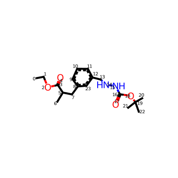 CCOC(=O)C(C)Cc1cccc(CNNC(=O)OC(C)(C)C)c1